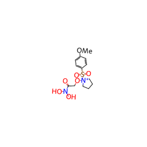 COc1ccc(S(=O)(=O)[N+]2(OCC(=O)N(O)O)CCCC2)cc1